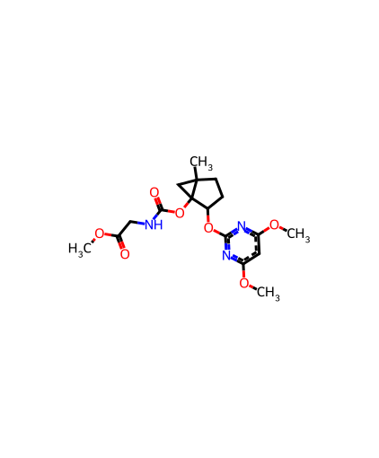 COC(=O)CNC(=O)OC12CC1(C)CCC2Oc1nc(OC)cc(OC)n1